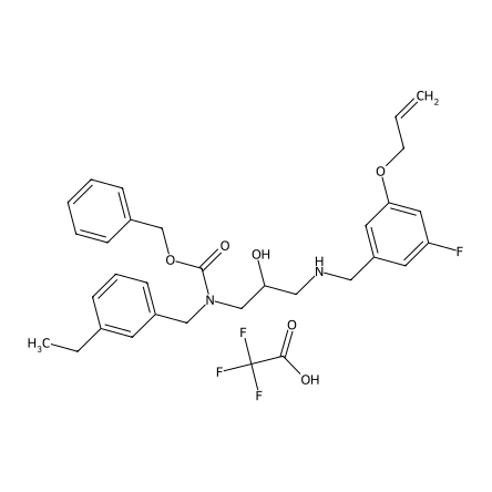 C=CCOc1cc(F)cc(CNCC(O)CN(Cc2cccc(CC)c2)C(=O)OCc2ccccc2)c1.O=C(O)C(F)(F)F